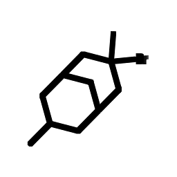 CC1CC2CC(C1)CC(C)(Br)C2